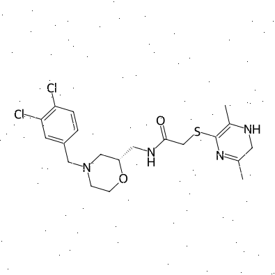 CC1=NC(SCC(=O)NC[C@H]2CN(Cc3ccc(Cl)c(Cl)c3)CCO2)=C(C)NC1